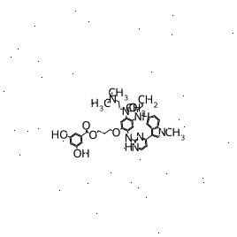 C=CC(=O)Nc1cc(Nc2nccc(-c3cn(C)c4ccccc34)n2)c(OCCCOC(=O)c2cc(O)cc(O)c2)cc1N(C)CCN(C)C